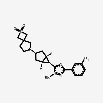 CC(C)(C)n1nc(-c2cccc(C(F)(F)F)c2)nc1[C@H]1[C@@H]2C[C@@H](N3CCC4(C3)CS(=O)(=O)C4)C[C@@H]21